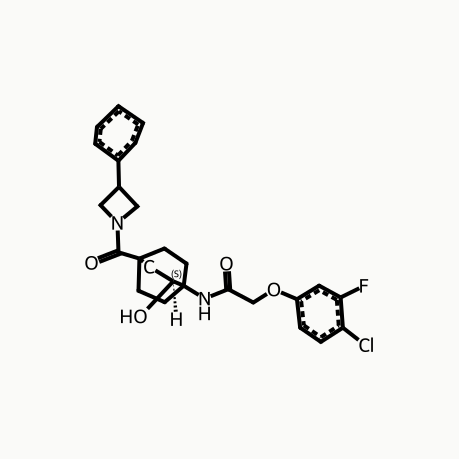 O=C(COc1ccc(Cl)c(F)c1)NC12CCC(C(=O)N3CC(c4ccccc4)C3)(CC1)C[C@@H]2O